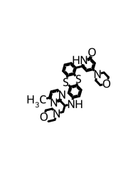 Cc1ccnc(C(CN2CCOCC2)Nc2ccc3c(c2)Sc2cccc(-c4cc(N5CCOCC5)cc(=O)[nH]4)c2S3)n1